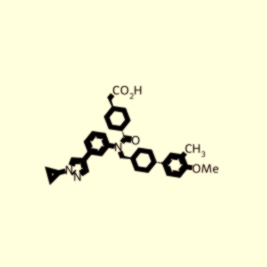 COc1ccc([C@H]2CC[C@H](CN(c3cccc(-c4cnn(C5CC5)c4)c3)C(=O)[C@H]3CC[C@H](CC(=O)O)CC3)CC2)cc1C